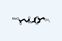 C=Cc1cnc(NC(=O)CCC(=O)OC)cn1